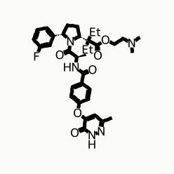 CCC(CC)(C(=O)OCCN(C)C)[C@H]1CC[C@@H](c2cccc(F)c2)N1C(=O)[C@@H](C)NC(=O)c1ccc(Oc2cc(C)n[nH]c2=O)cc1